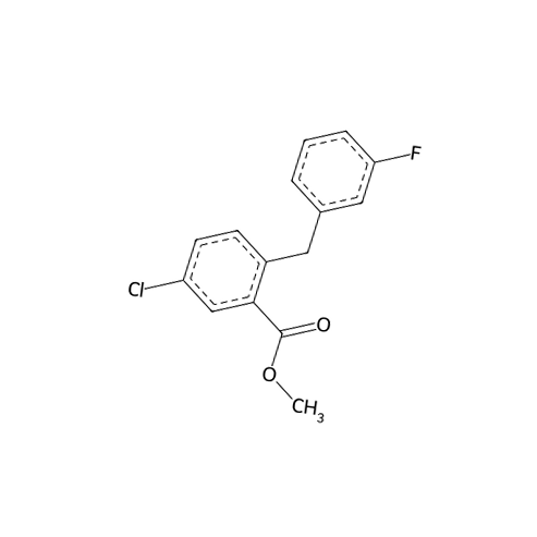 COC(=O)c1cc(Cl)ccc1Cc1cccc(F)c1